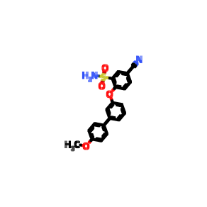 COc1ccc(-c2cccc(Oc3ccc(C#N)cc3S(N)(=O)=O)c2)cc1